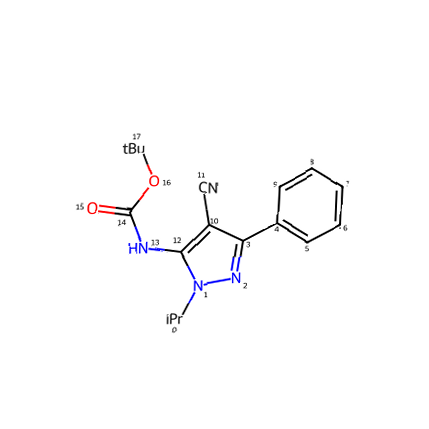 CC(C)n1nc(-c2c[c]ccc2)c(C#N)c1NC(=O)OC(C)(C)C